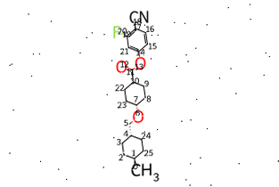 C[C@H]1CC[C@H](CO[C@H]2CC[C@H](C(=O)Oc3ccc(C#N)c(F)c3)CC2)CC1